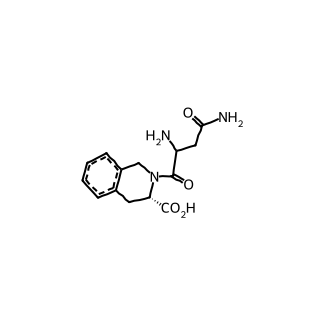 NC(=O)CC(N)C(=O)N1Cc2ccccc2C[C@H]1C(=O)O